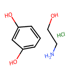 Cl.NCCO.Oc1cccc(O)c1